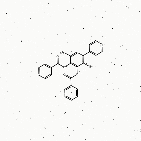 CCCc1cc(-c2ccccc2)c(C(C)C)c(OC(=O)c2ccccc2)c1OC(=O)c1ccccc1